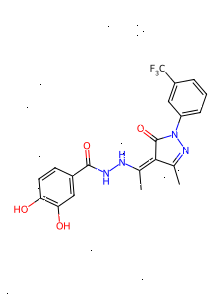 CC1=NN(c2cccc(C(F)(F)F)c2)C(=O)/C1=C(/C)NNC(=O)c1ccc(O)c(O)c1